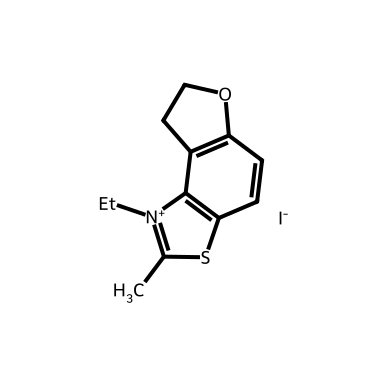 CC[n+]1c(C)sc2ccc3c(c21)CCO3.[I-]